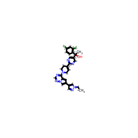 CCn1cc(-c2cc3c(N4CC=C(c5ncc(C(C)(O)c6ccc(F)cc6F)cn5)CC4)ncnn3c2)cn1